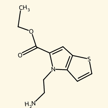 CCOC(=O)c1cc2sccc2n1CCN